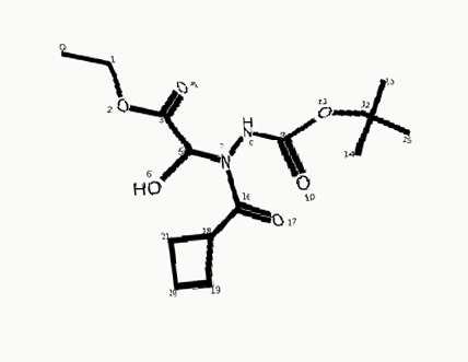 CCOC(=O)C(O)N(NC(=O)OC(C)(C)C)C(=O)C1CCC1